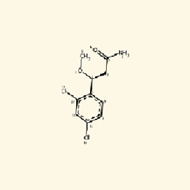 CO[C@@H]([CH]C(N)=O)c1ccc(Cl)cc1Cl